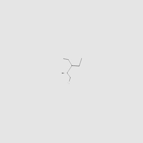 CCC(CF)[C@H](C)CN